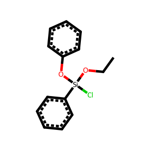 CCO[Si](Cl)(Oc1ccccc1)c1ccccc1